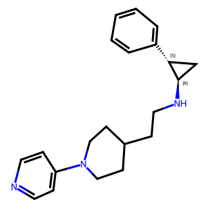 c1ccc([C@@H]2C[C@H]2NCCC2CCN(c3ccncc3)CC2)cc1